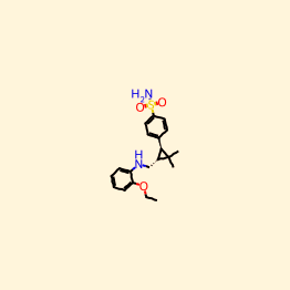 CCOc1ccccc1NC[C@@H]1[C@@H](c2ccc(S(N)(=O)=O)cc2)C1(C)C